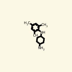 Cc1cc(C)c(NC2CCC(N)CC2)c(C)c1